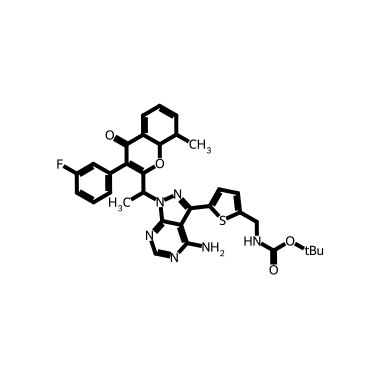 CC1C=CC=C2C(=O)C(c3cccc(F)c3)=C(C(C)n3nc(-c4ccc(CNC(=O)OC(C)(C)C)s4)c4c(N)ncnc43)OC21